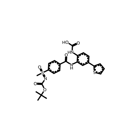 CC(C)(C)OC(=O)N=S(C)(=O)c1ccc(C(=O)Nc2cc(-c3cccs3)ccc2NC(=O)O)cc1